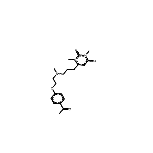 CC(=O)c1ccc(OCCN(C)CCCc2cc(=O)n(C)c(=O)n2C)cc1